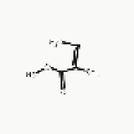 CC=C(C)C(=O)OS